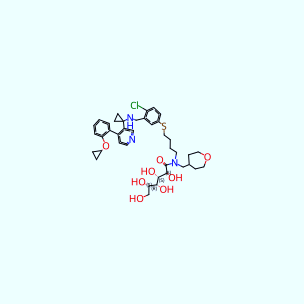 O=C([C@@H](O)[C@@H](O)[C@H](O)[C@@H](O)CO)N(CCCCSc1ccc(Cl)c(CNC2(c3cnccc3-c3ccccc3OC3CC3)CC2)c1)CC1CCOCC1